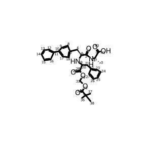 C[C@H](NC(=O)[C@H](Cc1ccc(-c2ccccc2)cc1)NC(Cc1ccccc1)C(=O)OCOC(=O)C(C)(C)C)C(=O)O